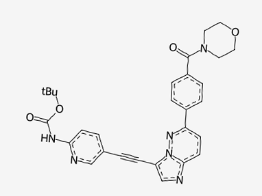 CC(C)(C)OC(=O)Nc1ccc(C#Cc2cnc3ccc(-c4ccc(C(=O)N5CCOCC5)cc4)nn23)cn1